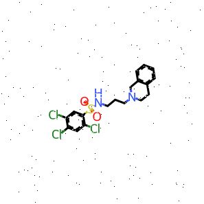 O=S(=O)(NCCCN1CCc2ccccc2C1)c1cc(Cl)c(Cl)cc1Cl